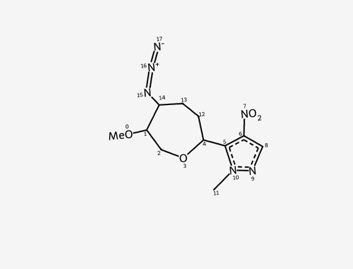 COC1COC(c2c([N+](=O)[O-])cnn2C)CCC1N=[N+]=[N-]